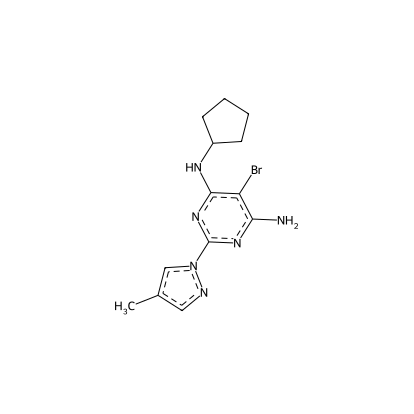 Cc1cnn(-c2nc(N)c(Br)c(NC3CCCC3)n2)c1